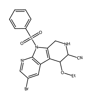 CCOC1c2c(n(S(=O)(=O)c3ccccc3)c3ncc(Br)cc23)CNC1C#N